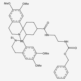 CCN1CCc2cc(OC)c(OC)cc2C1C1CC(C(=O)NCCNC(=O)OCc2ccccc2)CCC12c1cc(OC)c(OC)cc1CCN2C(C)=O